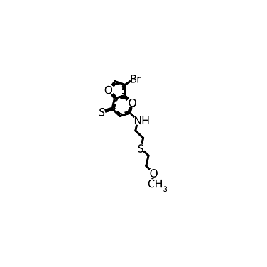 COCCSCCNc1cc(=S)c2occ(Br)c2o1